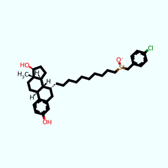 C[C@]12CC[C@@H]3c4ccc(O)cc4C[C@@H](CCCCCCCCCC[S+]([O-])Cc4ccc(Cl)cc4)[C@H]3[C@@H]1CC[C@@H]2O